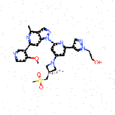 COc1ccncc1-c1cc2c(cnn2-c2cc(N3C[C@H](CS(C)(=O)=O)[C@H]3C)cc(-c3cnn(CCO)c3)n2)c(C)n1